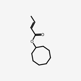 C/C=C/C(=O)OC1CCCCCCC1